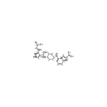 OC(N[C@H]1CC[C@@H](Nc2cccc3nc(C(F)F)cn23)CC1)c1c[nH]nc1NCC(F)F